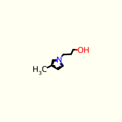 Cc1ccn(CCCO)c1